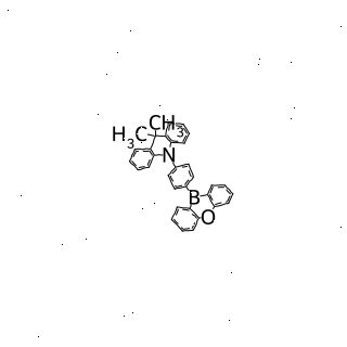 CC1(C)c2ccccc2N(c2ccc(B3c4ccccc4Oc4ccccc43)cc2)c2ccccc21